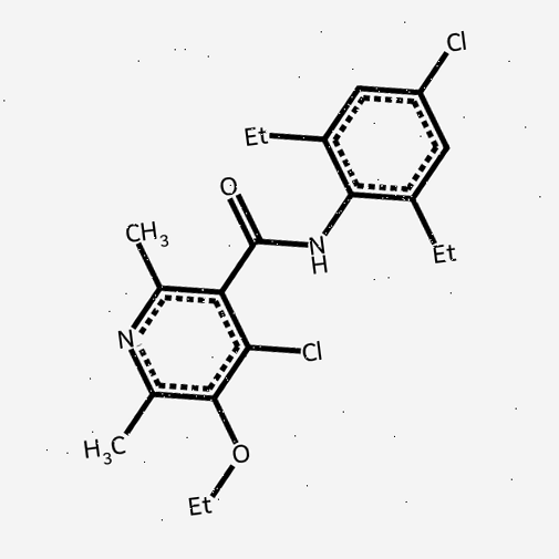 CCOc1c(C)nc(C)c(C(=O)Nc2c(CC)cc(Cl)cc2CC)c1Cl